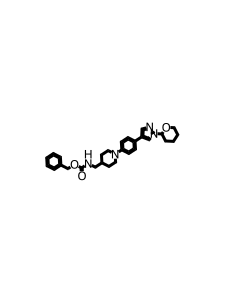 O=C(NCC1CCN(c2ccc(-c3cnn(C4CCCCO4)c3)cc2)CC1)OCc1ccccc1